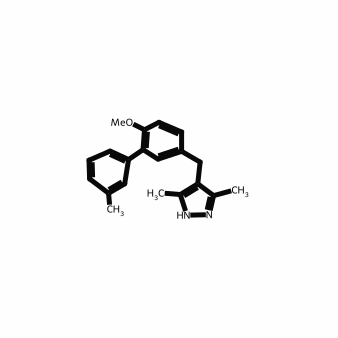 COc1ccc(Cc2c(C)n[nH]c2C)cc1-c1cccc(C)c1